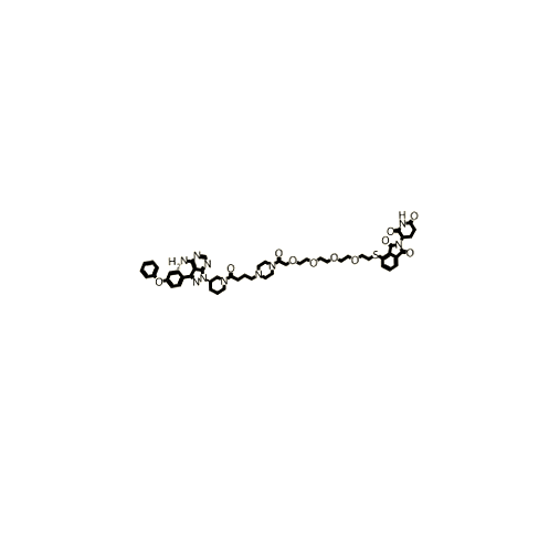 Nc1ncnc2c1c(-c1ccc(Oc3ccccc3)cc1)nn2[C@@H]1CCCN(C(=O)CCCN2CCN(C(=O)COCCOCCOCCOCCSc3cccc4c3C(=O)N(C3CCC(=O)NC3=O)C4=O)CC2)C1